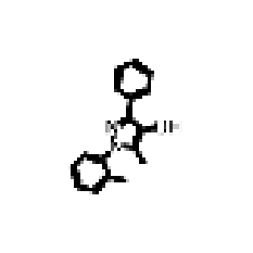 Cc1ccccc1-n1nc(-c2ccccc2)c(O)c1C